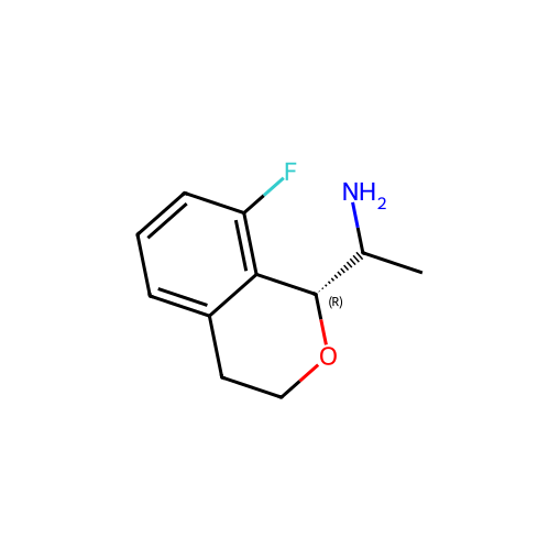 CC(N)[C@@H]1OCCc2cccc(F)c21